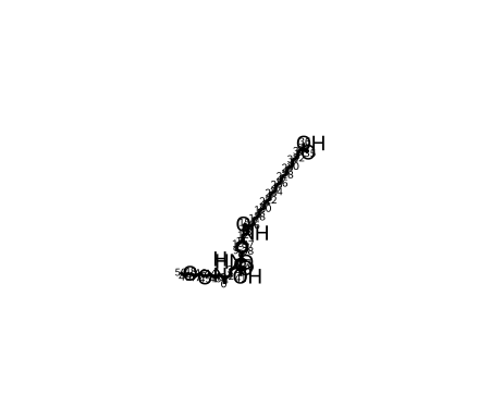 C=C(CCC(NC(=O)C1CCC(CNC(=O)CCCCCCCCCCCCCCCCCCC(=O)O)CC1)C(=O)O)NCCOCCOCC